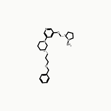 BN1CCC[C@H]1COc1cncc(N2CCC[C@@H](CCCOCc3ccccc3)C2)c1